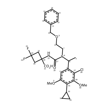 COc1cc(C(C)N(CCOCc2ccccc2)C(=O)NC2(C(=O)O)CC(F)(F)C2)c(Cl)c(OC)c1C1CC1